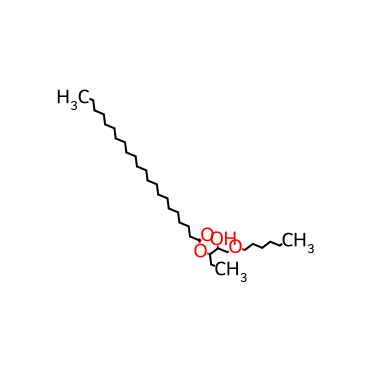 CCCCCCCCCCCCCCCCCCCCCC(=O)OC(CC)C(O)COCCCCCC